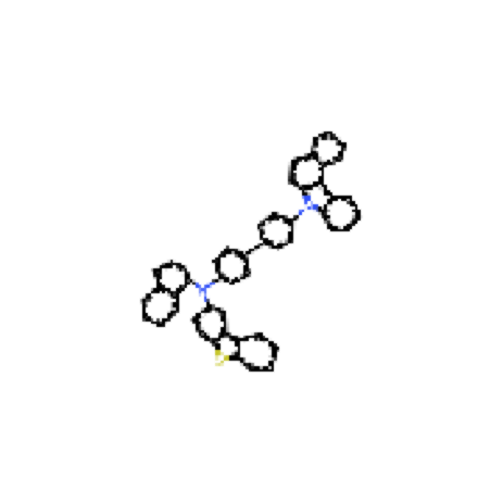 c1ccc2c(N(c3ccc(-c4ccc(-n5c6ccccc6c6c7ccccc7ccc65)cc4)cc3)c3ccc4sc5ccccc5c4c3)cccc2c1